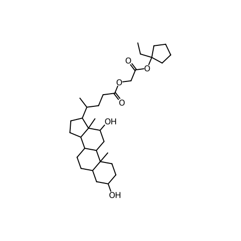 CCC1(OC(=O)COC(=O)CCC(C)C2CCC3C4CCC5CC(O)CCC5(C)C4CC(O)C23C)CCCC1